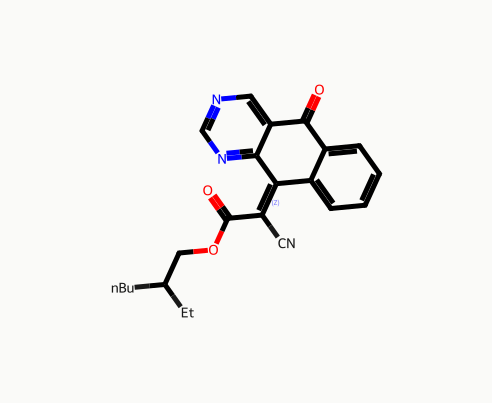 CCCCC(CC)COC(=O)/C(C#N)=C1/c2ccccc2C(=O)c2cncnc21